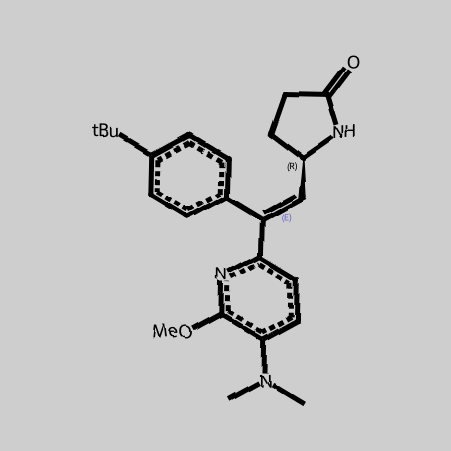 COc1nc(/C(=C/[C@H]2CCC(=O)N2)c2ccc(C(C)(C)C)cc2)ccc1N(C)C